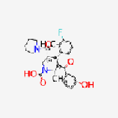 Cc1c(F)cccc1[C@H]1[C@@H](C(=O)N2CCCCC2)CN(C(=O)O)C(C)[C@@H]1C(=O)c1cccc(O)c1